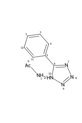 CC(N)=O.c1ccc(-c2nnn[nH]2)cc1